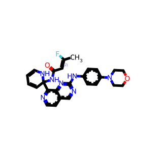 C/C(F)=C/C(=O)NC1(c2nccc3cnc(Nc4ccc(N5CCOCC5)cc4)nc23)C=CC=CN1